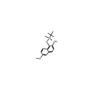 COc1ccc2c(O[Si](C)(C)C(C)(C)C)c(O)ccc2c1